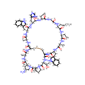 CC(C)C[C@@H]1NC(=O)[C@H](CCC(=O)O)NC(=O)CNC(=O)[C@H](CC(C)C)NC(O)[C@H](Cc2cnc[nH]2)NC(=O)[C@H](Cc2c[nH]c3ccccc23)NC(=O)[C@H](C)NC(=O)[C@@H]2CSSC/C(=N/C(=O)[C@H](Cc3c[nH]c4ccccc34)NC(=O)[C@H](C(C)C)NC1=O)C(=O)N[C@@H]([C@@H](C)O)C(=O)N1CCC[C@@H]1C(=O)N1C[C@@H](N)C[C@H]1C(=O)N[C@@H](C)C(=O)N2